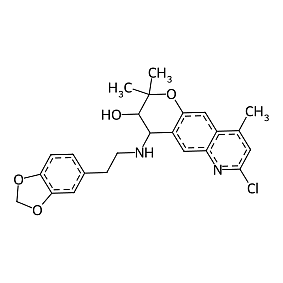 Cc1cc(Cl)nc2cc3c(cc12)OC(C)(C)C(O)C3NCCc1ccc2c(c1)OCO2